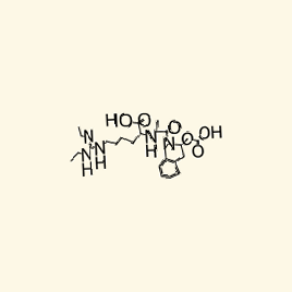 CCN=C(NCC)NCCCC[C@H](N[C@@H](C)C(=O)N1Cc2ccccc2C[C@@H]1OC(=O)O)C(=O)O